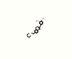 CCOC(=O)[C@H]1CCCN(C[C@@H](O)c2ccc3c(c2)CCc2c-3noc2-c2ccc(OCC)c(OCC)c2)C1